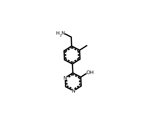 Cc1cc(-c2ncncc2O)ccc1CN